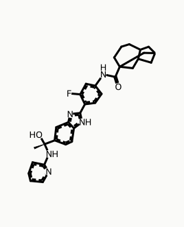 C[C@](O)(Nc1ccccn1)c1ccc2[nH]c(-c3ccc(NC(=O)C45CCCC6CC(CC6C4)C5)cc3F)nc2c1